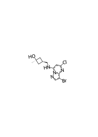 C[C@]1(O)C[C@@H](CNc2cc(Cl)nc3c(Br)cnn23)C1